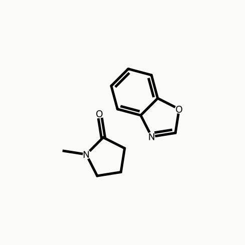 CN1CCCC1=O.c1ccc2ocnc2c1